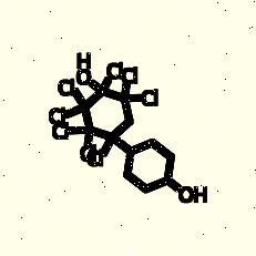 OC1CCC(C2(Cl)CC(Cl)(Cl)C(O)(Cl)C(Cl)(Cl)C2(Cl)Cl)CC1